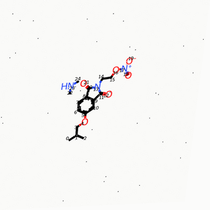 CC(C)COc1ccc2c(c1)C(=O)N(CCO[N+](=O)[O-])C2=O.CNC